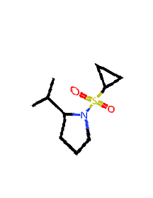 CC(C)C1CCCN1S(=O)(=O)C1CC1